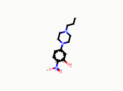 CCCN1CCN(c2ccc([N+](=O)[O-])c(O)c2)CC1